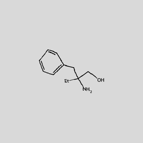 CCC(N)(CO)Cc1ccccc1